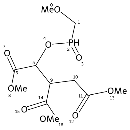 COC[PH](=O)OC(C(=O)OC)C(CC(=O)OC)C(=O)OC